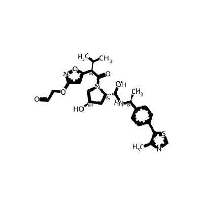 Cc1ncsc1-c1ccc([C@H](C)NC(O)[C@@H]2C[C@@H](O)CN2C(=O)[C@@H](c2cc(OCC=O)no2)C(C)C)cc1